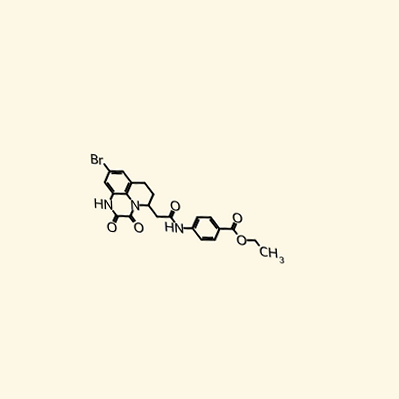 CCOC(=O)c1ccc(NC(=O)CC2CCc3cc(Br)cc4[nH]c(=O)c(=O)n2c34)cc1